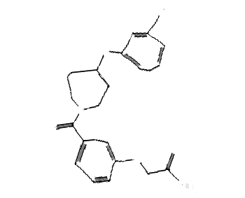 NC(=O)COc1cccc(C(=O)N2CCC(Oc3cccc(O)c3)CC2)c1